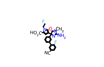 CN1C(=O)C(c2cccc(-c3cc(C#N)ccc3F)c2)(c2cc(C(=O)O)n(CCF)c2)N=C1N